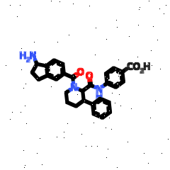 NC1CCc2cc(C(=O)N3CCCC(c4ccccc4)C3C(=O)Nc3ccc(C(=O)O)cc3)ccc21